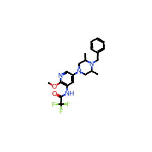 COc1ncc(N2CC(C)N(Cc3ccccc3)C(C)C2)cc1NC(=O)C(F)(F)F